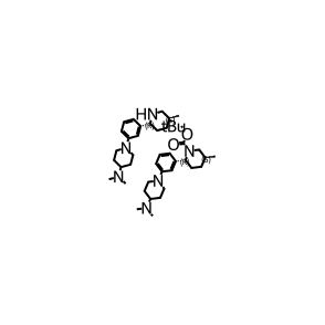 C[C@H]1CC[C@H](c2cccc(N3CCC(N(C)C)CC3)c2)N(C(=O)OC(C)(C)C)C1.C[C@H]1CC[C@H](c2cccc(N3CCC(N(C)C)CC3)c2)NC1